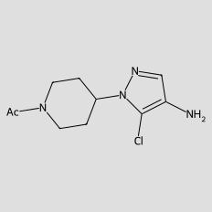 CC(=O)N1CCC(n2ncc(N)c2Cl)CC1